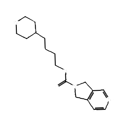 O=C(NCCCCC1CCNCC1)N1Cc2ccncc2C1